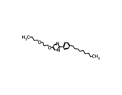 CCCCCCCCCc1ccc(-c2ncc(OCCCOCCCC)cn2)cc1